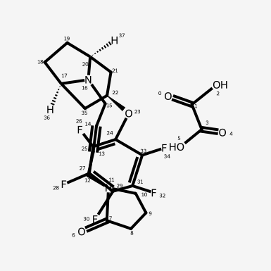 O=C(O)C(=O)O.O=C1CCCN1CC#CCN1[C@@H]2CC[C@H]1C[C@@H](Oc1c(F)c(F)c(F)c(F)c1F)C2